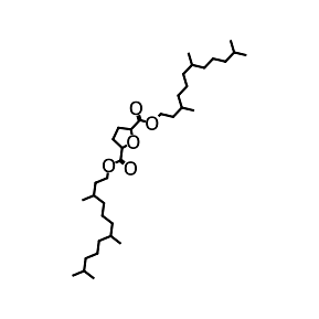 CC(C)CCCC(C)CCCC(C)CCOC(=O)C1CCC(C(=O)OCCC(C)CCCC(C)CCCC(C)C)O1